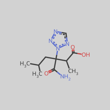 CC(C)CC(C(N)=O)(C(C)C(=O)O)n1ncnn1